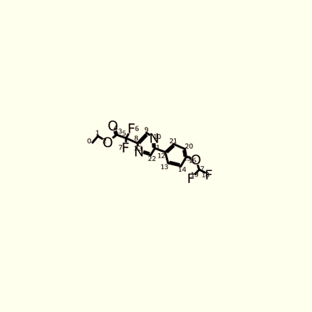 CCOC(=O)C(F)(F)c1cnc(-c2ccc(OC(F)F)cc2)cn1